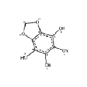 Oc1c(O)c(O)c2c(c1O)OCO2